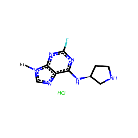 CCn1cnc2c(N[C@H]3CCNC3)nc(F)nc21.Cl